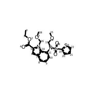 CCOC(=O)c1cc2cccc(N(COC)S(=O)(=O)c3cccs3)c2n1COC